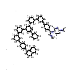 C=CC(/C=C\C=C/C)=C(\C=C/C)c1ccc(-c2cccc(-c3cccc(-c4cc(-c5cccc(-c6cccc(-c7ccc(-c8cccc9ccccc89)cc7)c6)c5)cc(-c5ccccc5)n4)c3)c2)cc1